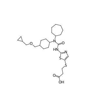 O=C(O)CCSc1cnc(NC(=O)N(C2CCCCCC2)C2CCC(COCC3CC3)CC2)s1